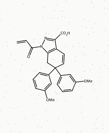 C=CC(=O)n1nc(C(=O)O)c2c1CC(c1cccc(OC)c1)(c1cccc(OC)c1)C=C2